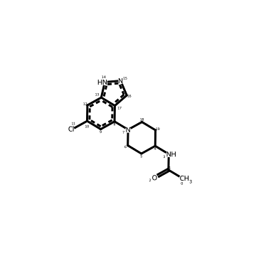 CC(=O)NC1CCN(c2cc(Cl)cc3[nH]ncc23)CC1